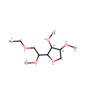 CCOC(COCC(C)=O)C1OCC(OCC)C1OCC